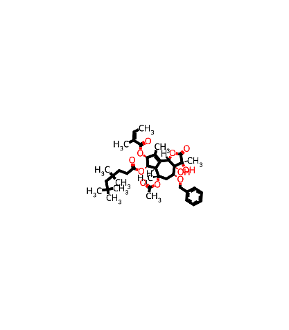 C/C=C(/C)C(=O)O[C@H]1C(C)=C2[C@H]([C@@H]1OC(=O)CCC(C)(C)CC(C)(C)C)[C@@](C)(OC(C)=O)C[C@@H](OCc1ccccc1)[C@@]1(O)[C@H]2OC(=O)[C@@]1(C)O